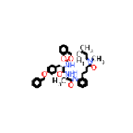 CC(C)CCN(C)C(=O)CCCc1ccccc1NC(=O)[C@@H](C)NC(=O)[C@H](Cc1ccc(OCc2ccccc2)cc1)NC(=O)OCc1ccccc1